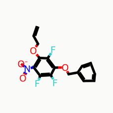 C=CCOc1c(F)c(OCc2ccccc2)c(F)c(F)c1[N+](=O)[O-]